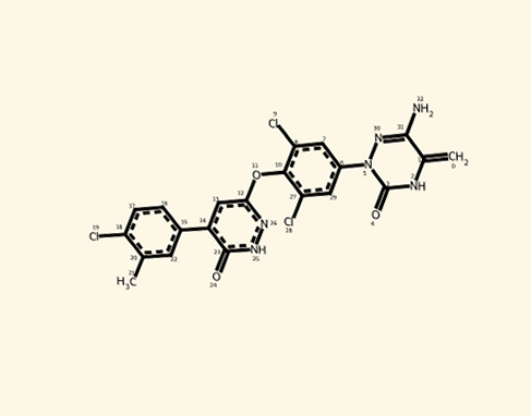 C=C1NC(=O)N(c2cc(Cl)c(Oc3cc(-c4ccc(Cl)c(C)c4)c(=O)[nH]n3)c(Cl)c2)N=C1N